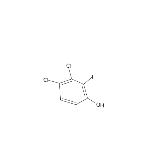 Oc1ccc(Cl)c(Cl)c1I